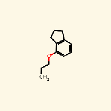 CCCOc1cccc2c1CCC2